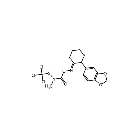 CN(SC(Cl)(Cl)Cl)C(=O)ON=C1SCCSC1c1ccc2c(c1)OCO2